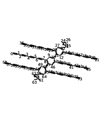 C#CC#CC#CC#Cc1cc(-c2cc(C#CC#CC#CC#C)c([Si](C)(C)C)cc2C#CC#CC#CC#C)c(C#CC#CC#CC#C)cc1-c1cc(C#CC#CC#CC#C)c([Si](C)(C)C)cc1C#CC#CC#CC#C